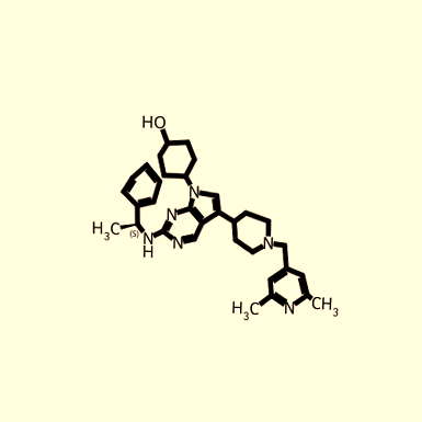 Cc1cc(CN2CCC(c3cn(C4CCC(O)CC4)c4nc(N[C@@H](C)c5ccccc5)ncc34)CC2)cc(C)n1